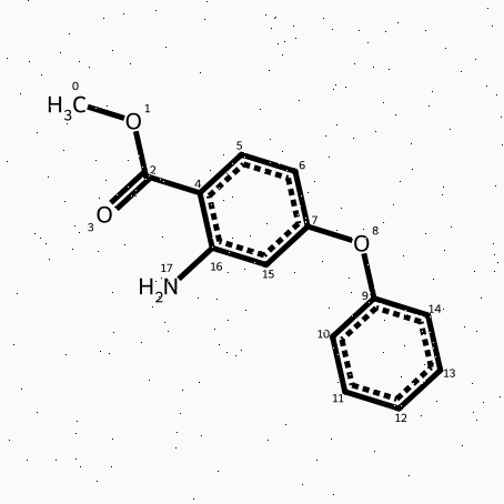 COC(=O)c1ccc(Oc2ccccc2)cc1N